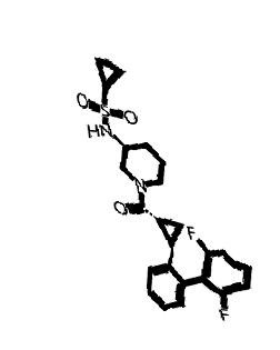 O=C([C@@H]1C[C@H]1c1ccccc1-c1c(F)cccc1F)N1CCC[C@H](NS(=O)(=O)C2CC2)C1